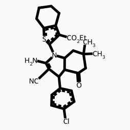 CCOC(=O)c1c(N2C(N)=C(C#N)C(c3ccc(Cl)cc3)C3C(=O)CC(C)(C)CC32)sc2c1CCCC2